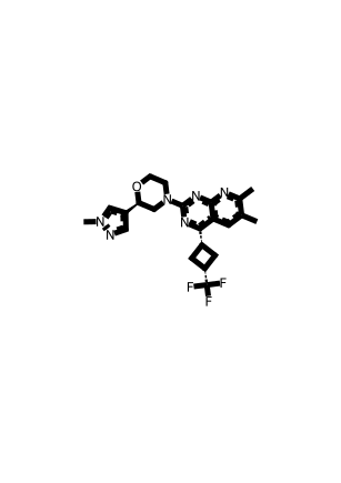 Cc1cc2c(nc(N3CCO[C@H](c4cnn(C)c4)C3)nc2[C@H]2C[C@@H](C(F)(F)F)C2)nc1C